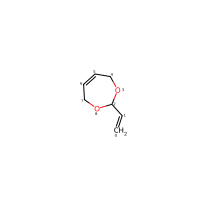 C=CC1OCC=CCO1